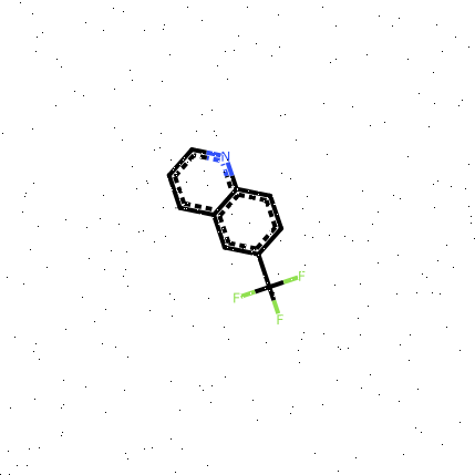 FC(F)(F)c1ccc2ncc[c]c2c1